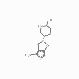 Nc1scc2c1CN([C@@H]1CCC(C=O)NC1)O2